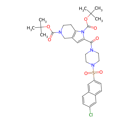 CC(C)(C)OC(=O)N1CCc2c(cc(C(=O)N3CCN(S(=O)(=O)c4ccc5cc(Cl)ccc5c4)CC3)n2C(=O)OC(C)(C)C)C1